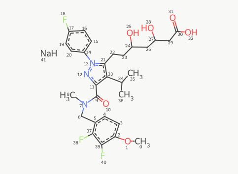 COc1ccc(CN(C)C(=O)c2nn(-c3ccc(F)cc3)c(CCC(O)CC(O)CC(=O)O)c2C(C)C)c(F)c1F.[NaH]